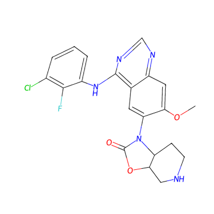 COc1cc2ncnc(Nc3cccc(Cl)c3F)c2cc1N1C(=O)OC2CNCCC21